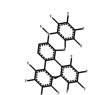 FB(c1ccc(-c2c(F)c(F)c(F)c(F)c2F)c(-c2c(F)c(F)c(F)c(F)c2F)c1F)c1c(F)c(F)c(F)c(F)c1F